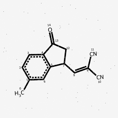 Cc1ccc2c(c1)C(C=C(C#N)C#N)CC2=O